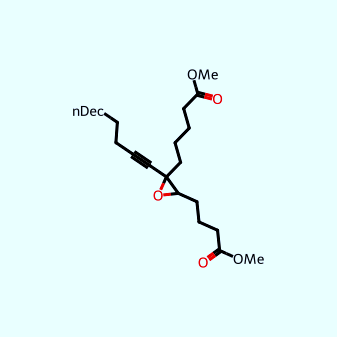 CCCCCCCCCCCCC#CC1(CCCCC(=O)OC)OC1CCCC(=O)OC